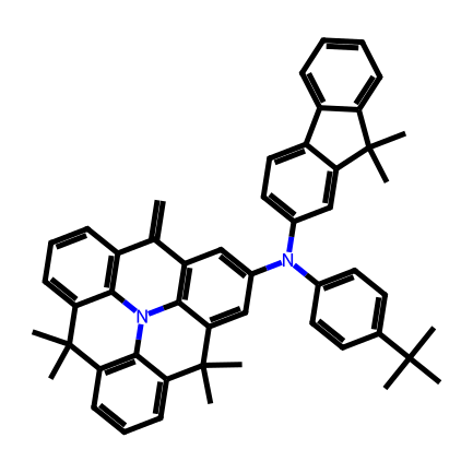 C=C1c2cccc3c2N2c4c1cc(N(c1ccc(C(C)(C)C)cc1)c1ccc5c(c1)C(C)(C)c1ccccc1-5)cc4C(C)(C)c1cccc(c12)C3(C)C